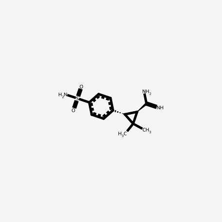 CC1(C)[C@H](C(=N)N)[C@H]1c1ccc(S(N)(=O)=O)cc1